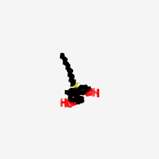 CCCCCCCCCCCCSC(CCC)(C1=CCC(C)(O)C=C1)C1=CCC(C)(O)C(C(C)(C)C)=C1